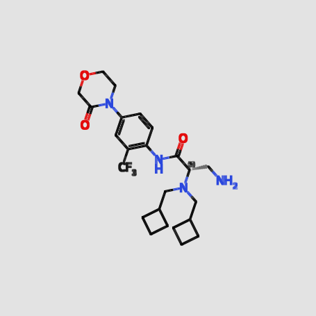 NC[C@@H](C(=O)Nc1ccc(N2CCOCC2=O)cc1C(F)(F)F)N(CC1CCC1)CC1CCC1